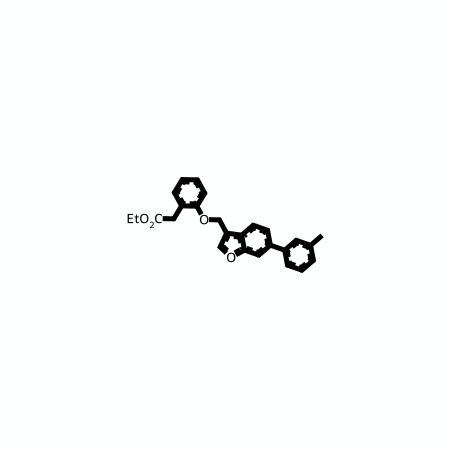 CCOC(=O)Cc1ccccc1OCc1coc2cc(-c3cccc(C)c3)ccc12